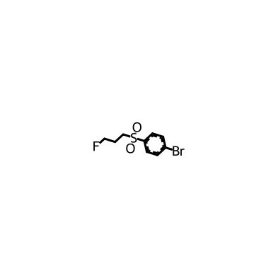 O=S(=O)(CCCF)c1ccc(Br)cc1